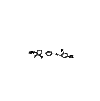 CCCc1ccc(-c2ccc(C#Cc3ccc(CC)cc3F)cc2)c(F)c1F